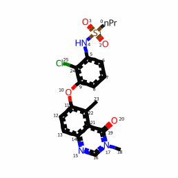 CCCS(=O)(=O)Nc1cccc(Oc2ccc3ncn(C)c(=O)c3c2C)c1Cl